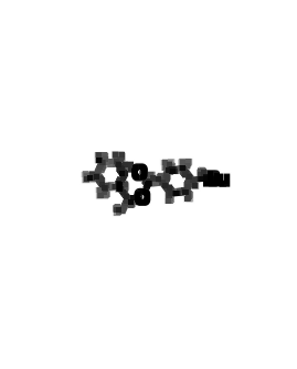 CCC(C)c1ccc(C(=O)OC(C)c2ccccc2)cc1